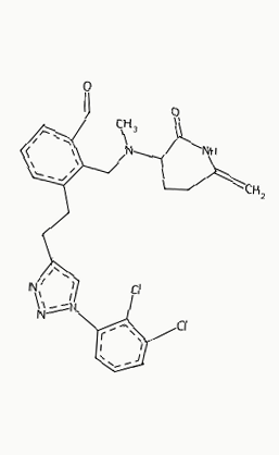 C=C1CCC(N(C)Cc2c(C=O)cccc2CCc2cn(-c3cccc(Cl)c3Cl)nn2)C(=O)N1